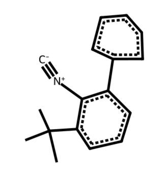 [C-]#[N+]c1c(-c2ccccc2)cccc1C(C)(C)C